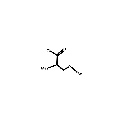 CSC(CSC(C)=O)C(=O)Cl